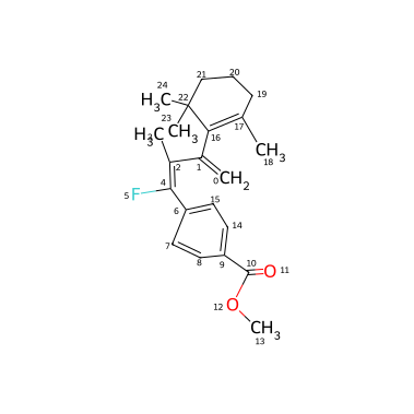 C=C(C(C)=C(F)c1ccc(C(=O)OC)cc1)C1=C(C)CCCC1(C)C